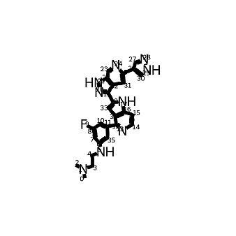 CN(C)CCNc1cc(F)cc(-c2nccc3[nH]c(-c4n[nH]c5cnc(-c6cn[nH]c6)cc45)cc23)c1